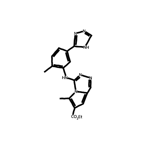 CCOC(=O)c1cc2cnnc(Nc3cc(-c4nnc[nH]4)ccc3C)n2c1C